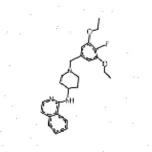 CCOc1cc(CN2CCC(Nc3nccc4ccccc34)CC2)cc(OCC)c1F